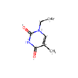 CC(=O)OCn1cc(C)c(=O)[nH]c1=O